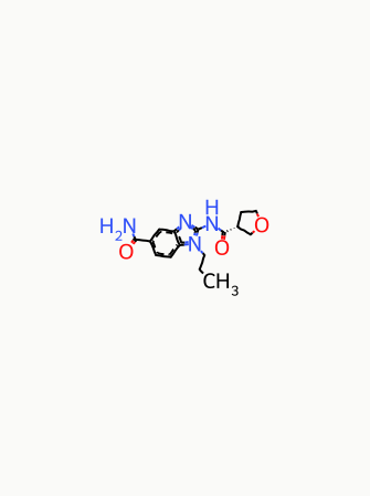 CCCn1c(NC(=O)[C@@H]2CCOC2)nc2cc(C(N)=O)ccc21